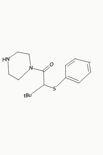 CC(C)(C)C(Sc1cc[c]cc1)C(=O)N1CCNCC1